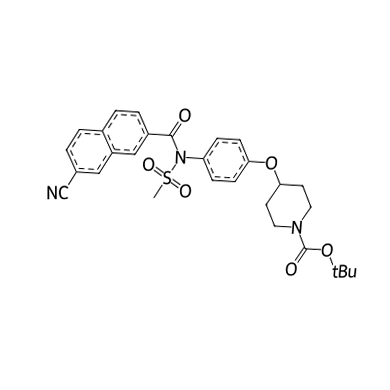 CC(C)(C)OC(=O)N1CCC(Oc2ccc(N(C(=O)c3ccc4ccc(C#N)cc4c3)S(C)(=O)=O)cc2)CC1